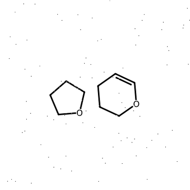 C1=COCCC1.C1CCOC1